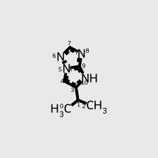 CC(C)c1cn2ncnc2[nH]1